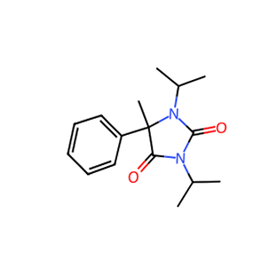 CC(C)N1C(=O)N(C(C)C)C(C)(c2ccccc2)C1=O